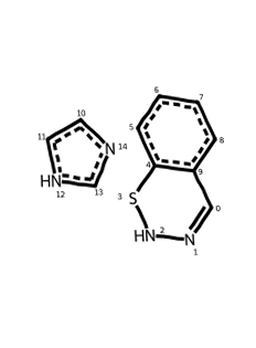 C1=NNSc2ccccc21.c1c[nH]cn1